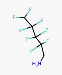 NCC(F)(F)C(F)(F)C(F)(F)C(F)F